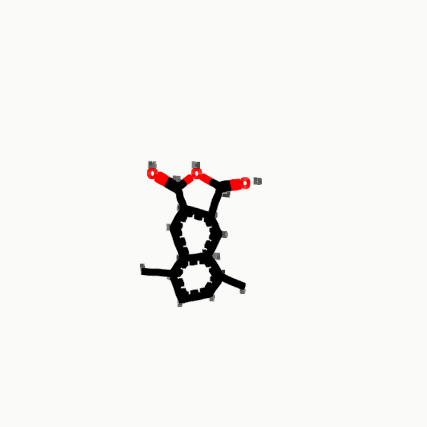 Cc1ccc(C)c2cc3c(cc12)C(=O)OC3=O